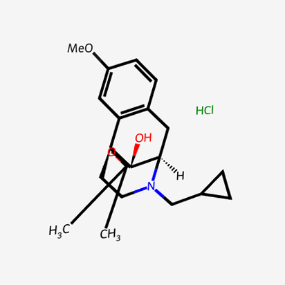 COc1ccc2c(c1)[C@]13CCN(CC4CC4)[C@H](C2)[C@]1(O)CC(C)(C)OC3.Cl